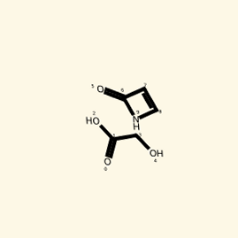 O=C(O)CO.O=C1C=CN1